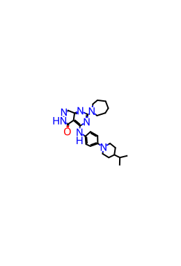 CC(C)C1CCN(c2ccc(Nc3nc(N4CCCCCC4)nc4cn[nH]c(=O)c34)cc2)CC1